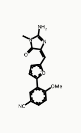 COc1ccc(C#N)cc1-c1ccc(/C=C2/N=C(N)N(C)C2=O)o1